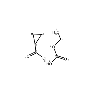 CCOC(=O)O.O=C(Cl)C1CC1